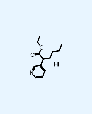 CCCCC(C(=O)OCC)c1cccnc1.I